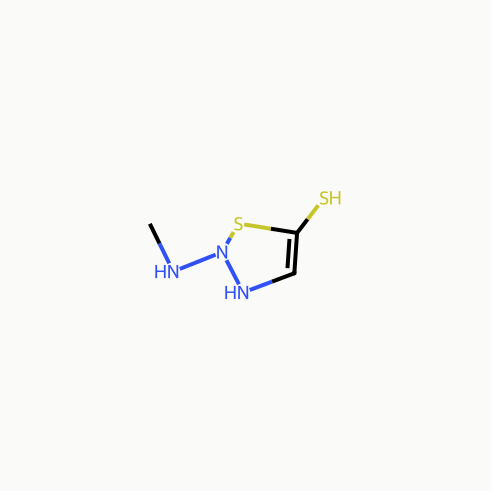 CNN1NC=C(S)S1